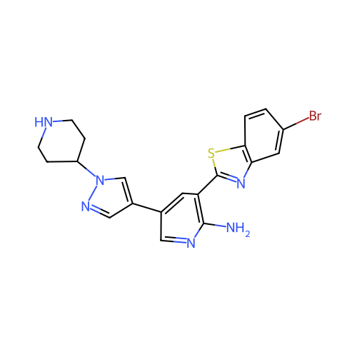 Nc1ncc(-c2cnn(C3CCNCC3)c2)cc1-c1nc2cc(Br)ccc2s1